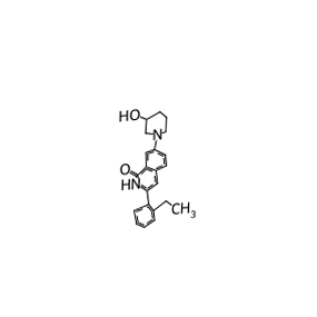 CCc1ccccc1-c1cc2ccc(N3CCCC(O)C3)cc2c(=O)[nH]1